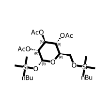 CCCC[Si](C)(C)OC[C@H]1O[C@H](O[Si](C)(C)CCCC)[C@H](OC(C)=O)[C@@H](OC(C)=O)[C@@H]1OC(C)=O